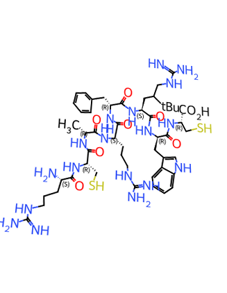 C[C@@H](NC(=O)[C@H](CS)NC(=O)[C@@H](N)CCCNC(=N)N)C(=O)N[C@@H](CCCNC(=N)N)C(=O)N[C@H](Cc1ccccc1)C(=O)N[C@@H](CC(CNC(=N)N)C(C)(C)C)C(=O)N[C@H](Cc1c[nH]c2ccccc12)C(=O)N[C@@H](CS)C(=O)O